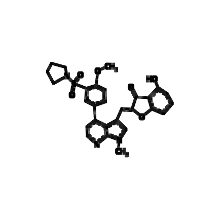 COc1ccc(-c2ccnc3c2c(C=C2Oc4cccc(O)c4C2=O)cn3C)cc1S(=O)(=O)N1CCCC1